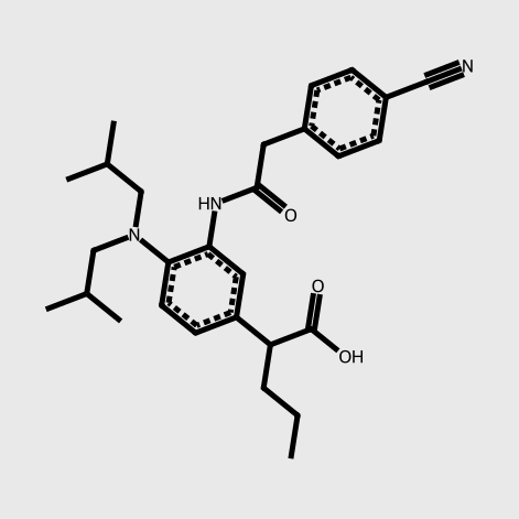 CCCC(C(=O)O)c1ccc(N(CC(C)C)CC(C)C)c(NC(=O)Cc2ccc(C#N)cc2)c1